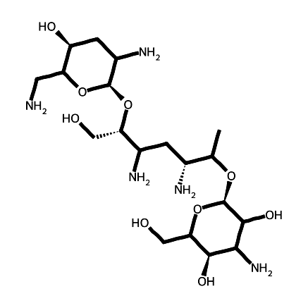 CC(O[C@@H]1OC(CO)[C@H](O)C(N)C1O)[C@H](N)CC(N)[C@H](CO)O[C@H]1OC(CN)[C@@H](O)CC1N